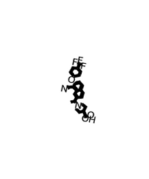 CC(c1ccc2ccc(OC3CCC(C(F)(F)F)CC3)c(C#N)c2c1)N1CCC(C(=O)O)CC1